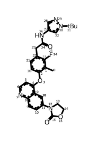 Cc1c(Oc2ccnc3ccc(N4CCOC4=O)cc23)ccc(CC(=O)Nc2cnn(C(C)(C)C)c2)c1F